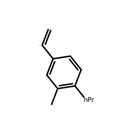 C=[C]c1ccc(CCC)c(C)c1